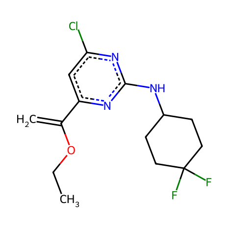 C=C(OCC)c1cc(Cl)nc(NC2CCC(F)(F)CC2)n1